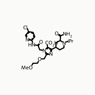 COCCOCc1nc(C2CCN(C(C)C)C(C(N)=O)C2)c(C(=O)O)n1CC(=O)Nc1ccc(Cl)cn1